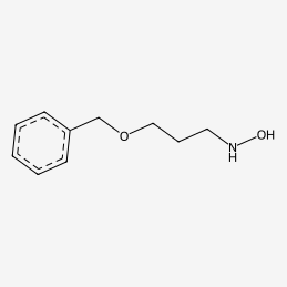 ONCCCOCc1ccccc1